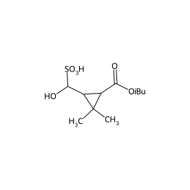 CC(C)COC(=O)C1C(C(O)S(=O)(=O)O)C1(C)C